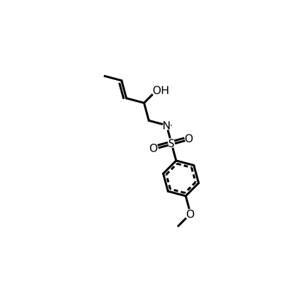 CC=CC(O)C[N]S(=O)(=O)c1ccc(OC)cc1